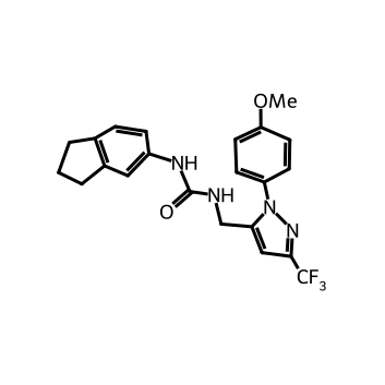 COc1ccc(-n2nc(C(F)(F)F)cc2CNC(=O)Nc2ccc3c(c2)CCC3)cc1